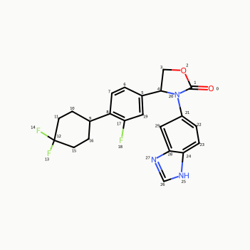 O=C1OCC(c2ccc(C3CCC(F)(F)CC3)c(F)c2)N1c1ccc2[nH]cnc2c1